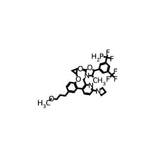 COCCCc1ccc(OC2CC2)c(-c2ccc(N3CCC3)nc2CN2C(=O)OC(c3cc(C(F)(F)F)cc(C(F)(F)P)c3)C2C)c1